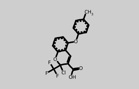 Cc1ccc(Oc2cccc3c2C=C(C(=O)O)C(Cl)(C(F)(F)F)O3)cc1